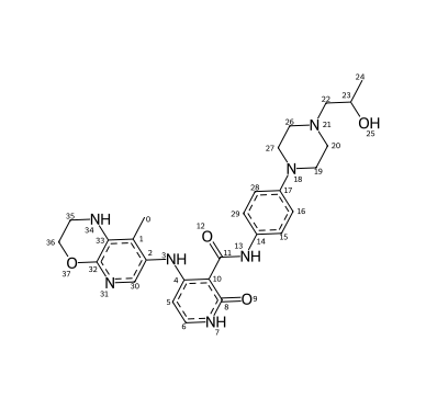 Cc1c(Nc2cc[nH]c(=O)c2C(=O)Nc2ccc(N3CCN(CC(C)O)CC3)cc2)cnc2c1NCCO2